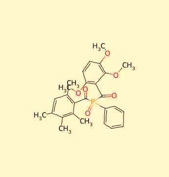 COc1ccc(OC)c(C(=O)P(=O)(C(=O)c2c(C)cc(C)c(C)c2C)c2ccccc2)c1OC